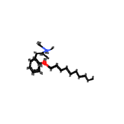 CCCCCCCCCCOc1ccccc1CC(C)N(C)C